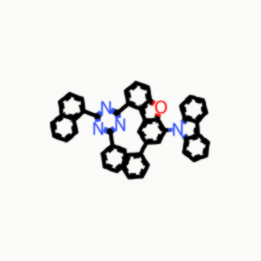 c1ccc(-c2cc(-n3c4ccccc4c4ccccc43)c3oc4cccc(-c5nc(-c6ccccc6)nc(-c6cccc7ccccc67)n5)c4c3c2)cc1